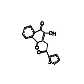 O=C(CC1=C(O)C(=O)c2ccccc2C1=O)c1cccs1